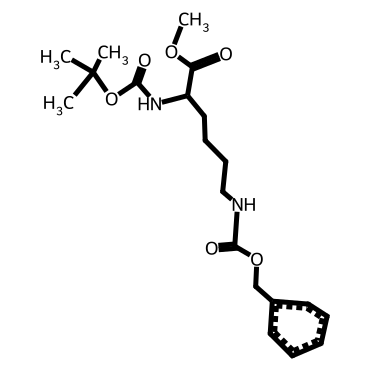 COC(=O)C(CCCCNC(=O)OCc1ccccc1)NC(=O)OC(C)(C)C